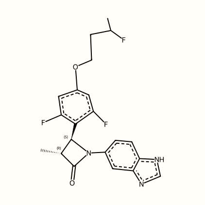 CC(F)CCOc1cc(F)c([C@@H]2[C@@H](C)C(=O)N2c2ccc3[nH]cnc3c2)c(F)c1